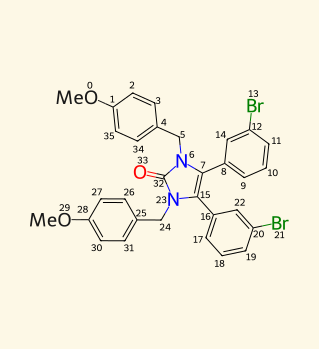 COc1ccc(Cn2c(-c3cccc(Br)c3)c(-c3cccc(Br)c3)n(Cc3ccc(OC)cc3)c2=O)cc1